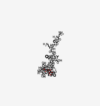 CC[C@H](C)[C@H](NC(=O)[C@@H](NC(=O)[C@H](CO)NC(=O)[C@@H](NC(=O)[C@H](Cc1c[nH]c2ccccc12)NC(=O)[C@H](CCC(=O)O)NC(=O)[C@H](CC(C)C)NC(=O)CNC(=O)[C@H](CCCCN)NC(=O)CNC(=O)[C@@H]1CCCN1C(=O)[C@H](C)NC(=O)[C@@H](N)CCC(N)=O)C(C)C)[C@@H](C)O)C(=O)N[C@@H](CC(N)=O)C(=O)N1CCC[C@H]1C(=O)N[C@@H](C)C(=O)NCC(=O)N[C@H](C(=O)N[C@H](C(=O)N[C@@H](CC(=O)O)C(=O)O)[C@@H](C)O)[C@@H](C)O